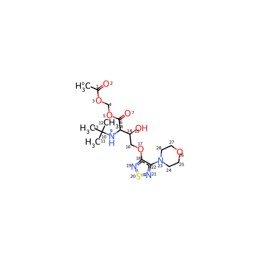 CC(=O)OCOC(=O)C(NC(C)(C)C)C(O)COc1nsnc1N1CCOCC1